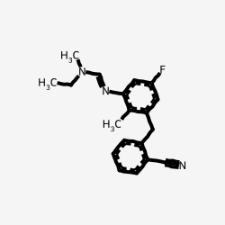 CCN(C)C=Nc1cc(F)cc(Cc2ccccc2C#N)c1C